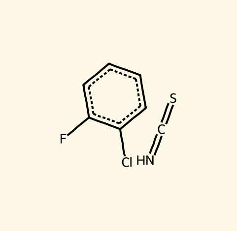 Fc1ccccc1Cl.N=C=S